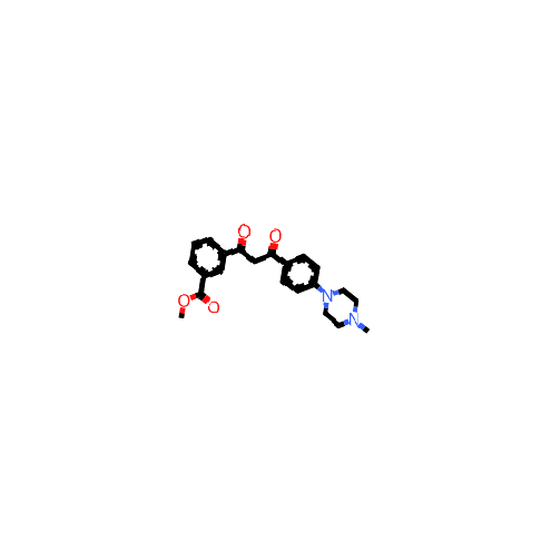 COC(=O)c1cccc(C(=O)CC(=O)c2ccc(N3CCN(C)CC3)cc2)c1